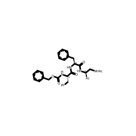 CC(=O)NC[C@H](NC(=O)[C@H](Cc1ccccc1)NC(=O)[C@H](CC(C)C)NC(=O)OCc1ccccc1)C(C)=O